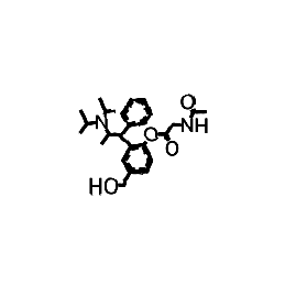 CC(=O)NCC(=O)Oc1ccc(CO)cc1C(c1ccccc1)C(C)N(C(C)C)C(C)C